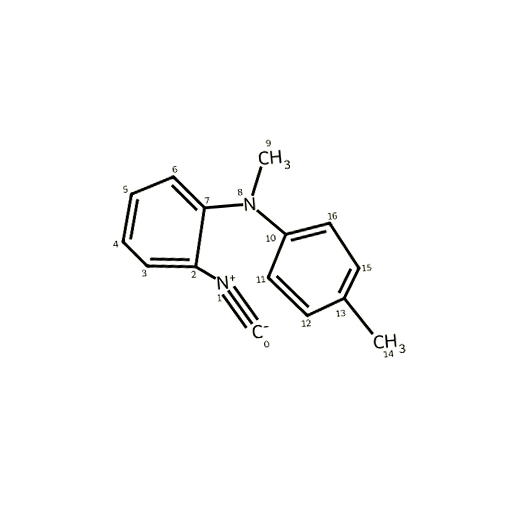 [C-]#[N+]c1ccccc1N(C)c1ccc(C)cc1